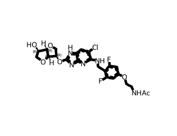 CC(=O)NCCOc1cc(F)c(CNc2nc3nc(O[C@@H]4CO[C@H]5[C@@H]4OC[C@H]5O)[nH]c3cc2Cl)c(F)c1